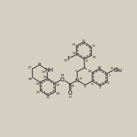 CC(C)(C)c1ccc(CN(CCc2ccccc2F)C(=O)Oc2cccc3c2NCCC3)cc1